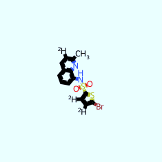 [2H]c1cc2cccc(NS(=O)(=O)c3sc(Br)c([2H])c3[2H])c2nc1C